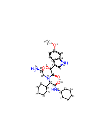 COc1ccc2c(C(=O)C(=O)N(CC(N)=O)C(C(=O)NC3CCCCC3)C3CCCCC3)c[nH]c2c1